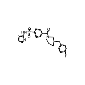 O=C(c1ccc(S(=O)(=O)Nc2nccs2)cc1)N1CCCC(Cc2ccc(F)cc2)C1